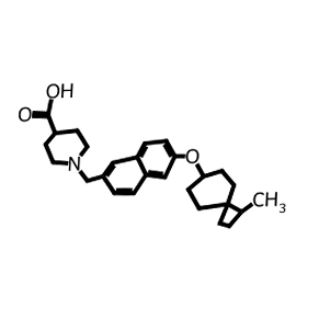 CC1CCC12CCC(Oc1ccc3cc(CN4CCC(C(=O)O)CC4)ccc3c1)CC2